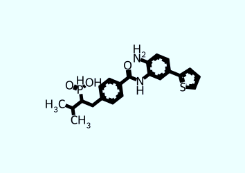 CC(C)C(Cc1ccc(C(=O)Nc2cc(-c3cccs3)ccc2N)cc1)[PH](=O)O